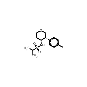 CC(C)S(=O)(=O)N[C@H]1CCOC[C@@H]1c1ccc(I)cc1